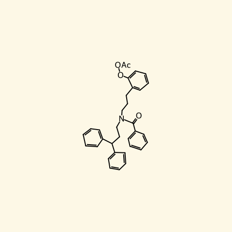 CC(=O)OOc1ccccc1CCCN(CCC(c1ccccc1)c1ccccc1)C(=O)c1ccccc1